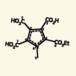 CCOC(=O)c1c(C(=O)O)c(C(=O)O)c(C(=O)O)n1C